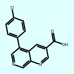 O=C(O)c1cnc2cncc(-c3ccc(Cl)cc3)c2c1